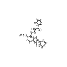 COC1C=Cc2c(cc3n2Cc2ccccc2-3)N1CCNC(=O)c1ccco1